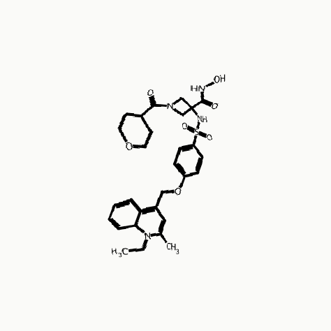 CCN1C(C)=CC(COc2ccc(S(=O)(=O)NC3(C(=O)NO)CN(C(=O)C4CCOCC4)C3)cc2)=C2C=CC=CC21